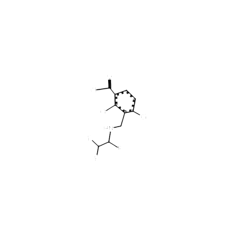 O=C(Cl)c1ccc(Cl)c(CNC(F)C(F)F)c1Cl